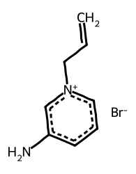 C=CC[n+]1cccc(N)c1.[Br-]